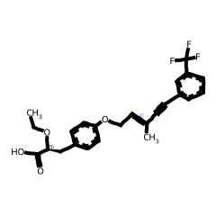 CCO[C@@H](Cc1ccc(OC/C=C(\C)C#Cc2cccc(C(F)(F)F)c2)cc1)C(=O)O